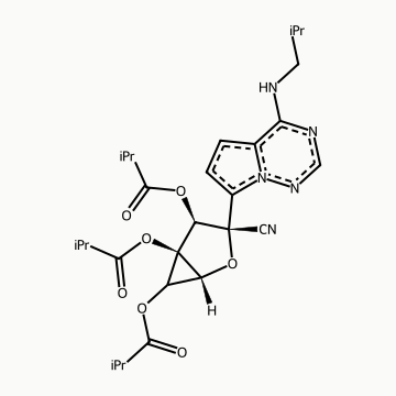 CC(C)CNc1ncnn2c([C@]3(C#N)O[C@@H]4C(OC(=O)C(C)C)[C@]4(OC(=O)C(C)C)[C@H]3OC(=O)C(C)C)ccc12